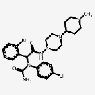 CN1CCC(N2CCN(NC(=O)C(c3ccccc3Br)N(C(N)=O)c3ccc(Cl)cc3)CC2)CC1